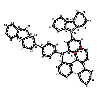 c1ccc(-c2ccccc2-c2ccccc2N(c2ccc(-c3ccc4c(c3)oc3ccccc34)cc2)c2cccc(-n3c4ccccc4c4ccccc43)c2)cc1